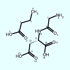 CCCC(=O)O.NCC(=O)N[C@@H](CC(=O)O)C(=O)O